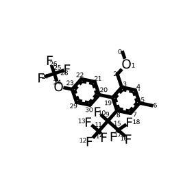 COCc1[c]c(C)cc(C(F)(C(F)(F)F)C(F)(F)F)c1-c1ccc(OC(F)(F)F)cc1